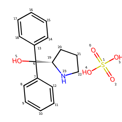 O=S(=O)(O)O.OC(c1ccccc1)(c1ccccc1)[C@@H]1CCCN1